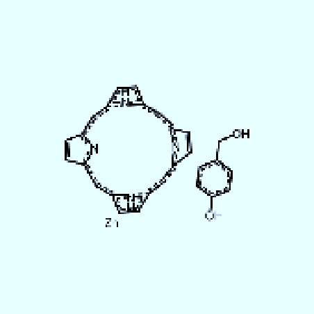 C1=Cc2cc3ccc(cc4nc(cc5ccc(cc1n2)[nH]5)C=C4)[nH]3.OCc1ccc(O)cc1.[Zn]